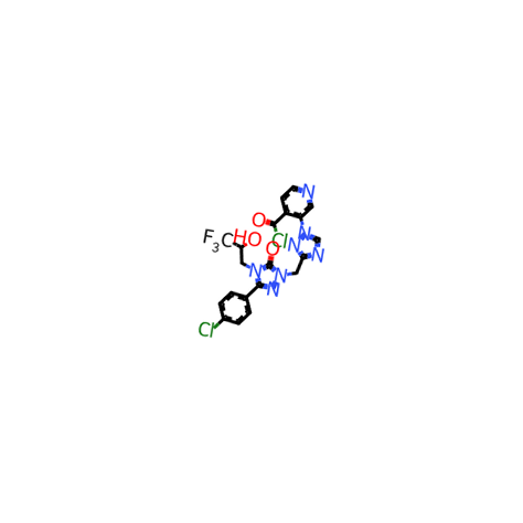 O=C(Cl)c1ccncc1-n1cnc(Cn2nc(-c3ccc(Cl)cc3)n(CC(O)C(F)(F)F)c2=O)n1